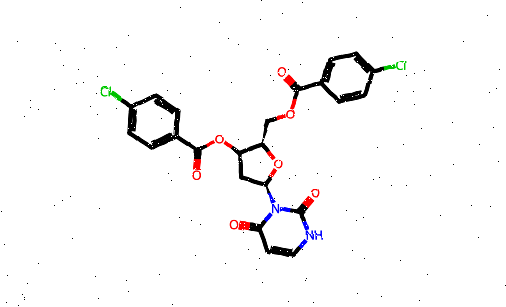 O=C(OC[C@H]1O[C@@H](n2c(=O)cc[nH]c2=O)CC1OC(=O)c1ccc(Cl)cc1)c1ccc(Cl)cc1